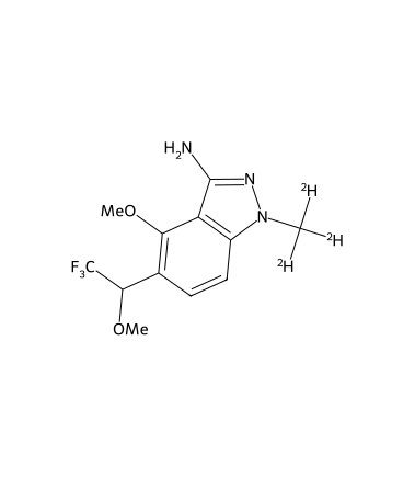 [2H]C([2H])([2H])n1nc(N)c2c(OC)c(C(OC)C(F)(F)F)ccc21